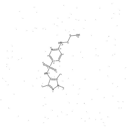 Cc1nn(C)c(C)c1NS(=O)(=O)c1ccc(NCCO)nc1